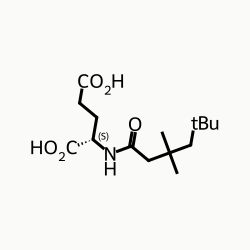 CC(C)(C)CC(C)(C)CC(=O)N[C@@H](CCC(=O)O)C(=O)O